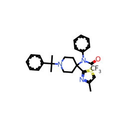 Cc1csc(C2(N(C(=O)C(F)(F)F)c3ccccc3)CCN(C(C)(C)c3ccccc3)CC2)n1